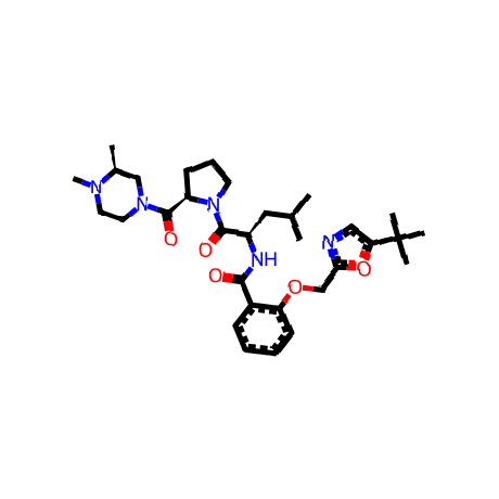 CC(C)C[C@@H](NC(=O)c1ccccc1OCc1ncc(C(C)(C)C)o1)C(=O)N1CCC[C@@H]1C(=O)N1CCN(C)[C@@H](C)C1